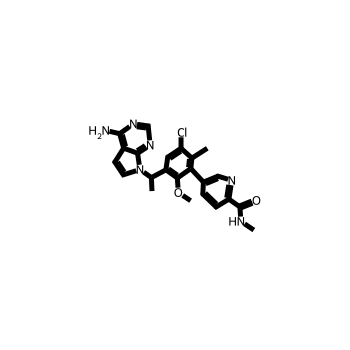 CNC(=O)c1ccc(-c2c(C)c(Cl)cc(C(C)n3ccc4c(N)ncnc43)c2OC)cn1